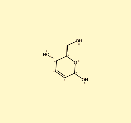 OC[C@H]1OC(O)C=C[C@@H]1O